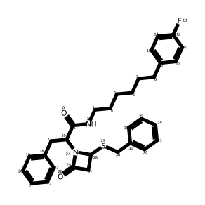 O=C(NCCCCCCc1ccc(F)cc1)C(Cc1ccccc1)N1C(=O)CC1SCc1ccccc1